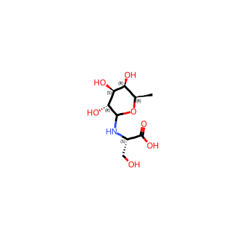 C[C@H]1OC(N[C@@H](CO)C(=O)O)[C@H](O)[C@@H](O)[C@H]1O